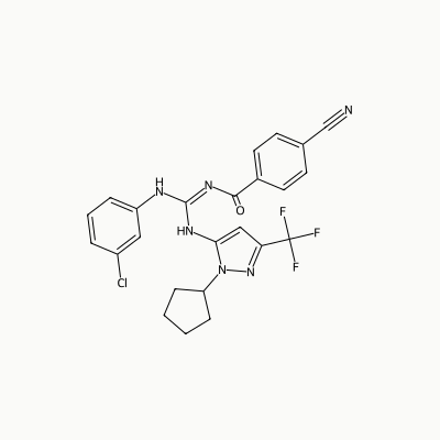 N#Cc1ccc(C(=O)/N=C(/Nc2cccc(Cl)c2)Nc2cc(C(F)(F)F)nn2C2CCCC2)cc1